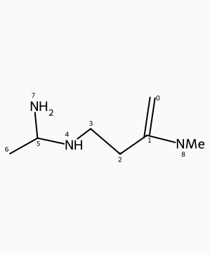 C=C(CCNC(C)N)NC